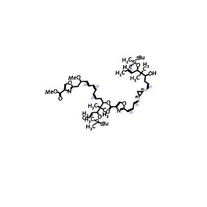 C/C=C/C(O[Si](C)(C)C(C)(C)C)C(C)(C)C(O)C/C=C\[C@H]1C[C@H]1/C=C/C=C\c1nc(C(=O)OC(C\C=C/C=C\C=C\C(Cc2nc(C(=O)OC)co2)OC)C(C)(C)C(/C=C/C)O[Si](C)(C)C(C)(C)C)co1